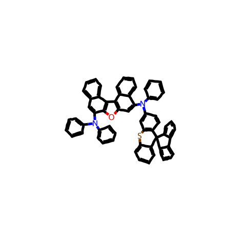 c1ccc(N(c2ccc3c(c2)Sc2ccccc2C32c3ccccc3-c3ccccc32)c2cc3oc4c(N(c5ccccc5)c5ccccc5)cc5ccccc5c4c3c3ccccc23)cc1